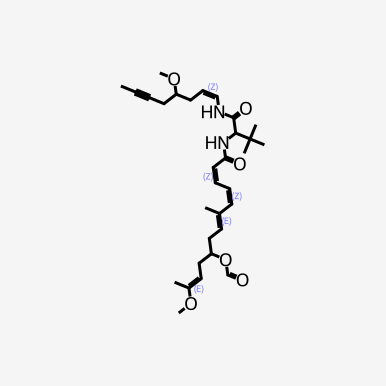 CC#CCC(C/C=C\NC(=O)C(NC(=O)\C=C/C=C\C(C)=C\CC(C/C=C(\C)OC)OC=O)C(C)(C)C)OC